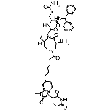 Cn1c(=O)n(C2CCC(=O)NC2=O)c2ccc(CCCCCC(=O)N3CC[C@H]4CC[C@@H](C(=O)NC(CCC(N)=O)C(=O)NC(c5ccccc5)c5ccccc5)N4C(=O)[C@@H](N)C3)cc21